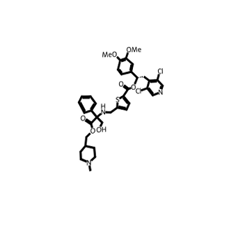 COc1ccc([C@H](Cc2c(Cl)cncc2Cl)OC(=O)c2ccc(CNC(CO)(C(=O)OCC3CCN(C)CC3)c3ccccc3)s2)cc1OC